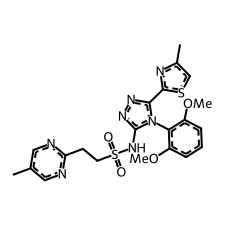 COc1cccc(OC)c1-n1c(NS(=O)(=O)CCc2ncc(C)cn2)nnc1-c1nc(C)cs1